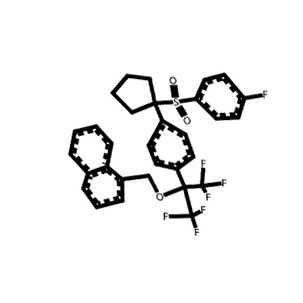 O=S(=O)(c1ccc(F)cc1)C1(c2ccc(C(OCc3cccc4ccccc34)(C(F)(F)F)C(F)(F)F)cc2)CCCC1